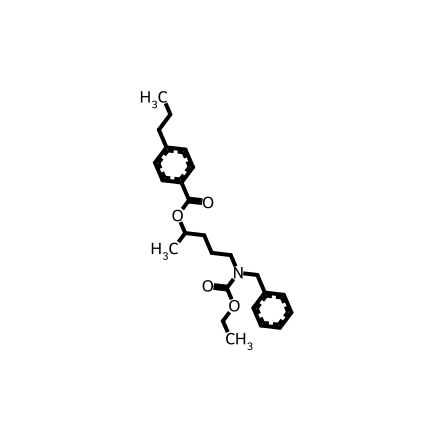 CCCc1ccc(C(=O)OC(C)CCCN(Cc2ccccc2)C(=O)OCC)cc1